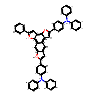 c1ccc(-c2cc3c4oc(-c5ccc(N(c6ccccc6)c6ccccc6)cc5)cc4c4cc5cc(-c6ccc(N(c7ccccc7)c7ccccc7)cc6)oc5cc4c3o2)cc1